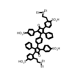 CCN(CC)CCc1cc(S(=O)(=O)O)ccc1C1=C(c2ccccc2)C(c2ccc(C3=C(c4ccc(S(=O)(=O)O)cc4)C(=O)C(c4ccc(S(=O)(=O)O)c(CCN(CC)CC)c4)=C3c3ccccc3)cc2)=C(c2ccc(S(=O)(=O)O)cc2)C1=O